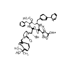 COC(=O)N[C@H](C(=O)N[C@H](Cc1ccc(-c2ccccn2)cc1)C[C@H](OC(=O)O)[C@H](Cc1ccccc1)NC(=O)[C@@H](N1CCN(Cc2cccc(C(C)(C)O)n2)C1=O)C(C)(C)C)C(C)(C)C